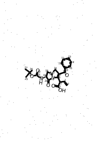 C=CC(C(=O)O)C1=C(C(=O)c2ccccc2)CN2C[C@H](NC(=O)OC(C)(C)C)C(=O)N12